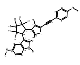 COc1ccc(C#Cc2sc(C)c(C3C(c4c(C)n(C)c5ccc(OC)cc45)C(F)(F)C(F)(F)C3(F)F)c2C)cc1